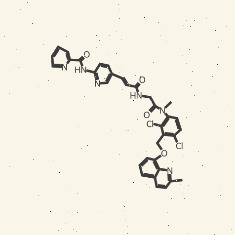 Cc1ccc2cccc(OCc3c(Cl)ccc(N(C)C(=O)CNC(=O)C=Cc4ccc(NC(=O)c5ccccn5)nc4)c3Cl)c2n1